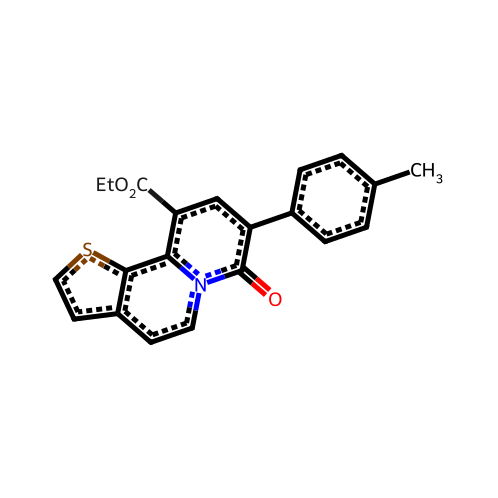 CCOC(=O)c1cc(-c2ccc(C)cc2)c(=O)n2ccc3ccsc3c12